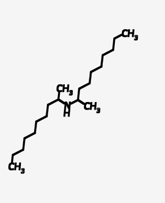 CCCCCCCCC(C)NC(C)CCCCCCCC